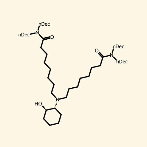 CCCCCCCCCCN(CCCCCCCCCC)C(=O)CCCCCCCN(CCCCCCCC(=O)N(CCCCCCCCCC)CCCCCCCCCC)[C@@H]1CCCC[C@H]1O